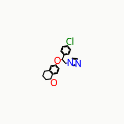 O=C1CCCc2cc(OC(Cn3ccnc3)c3ccc(Cl)cc3)ccc21